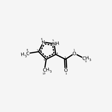 COC(=O)c1[nH]nc(C)c1C